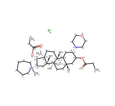 CCC(=O)O[C@H]1C[C@@H]2CC[C@@H]3[C@H](CC[C@@]4(C)[C@H]3C[C@H]([N+]3(C)CCCCCC3)[C@@H]4OC(=O)CC)[C@@]2(C)C[C@@H]1N1CCOCC1.[Br-]